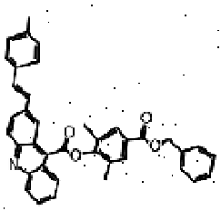 Cc1ccc(/C=C/c2ccc3nc4ccccc4c(C(=O)Oc4c(C)cc(C(=O)OCc5ccccc5)cc4C)c3c2)cc1